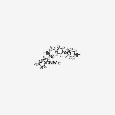 CNc1c(C(=O)NC2CC2c2ccc(N3CC4CNCC(C3)O4)cc2)sc2nc(C)ccc12